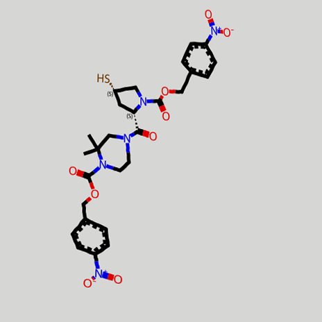 CC1(C)CN(C(=O)[C@@H]2C[C@H](S)CN2C(=O)OCc2ccc([N+](=O)[O-])cc2)CCN1C(=O)OCc1ccc([N+](=O)[O-])cc1